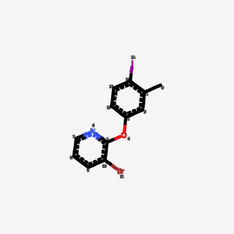 Cc1cc(Oc2ncccc2Br)ccc1I